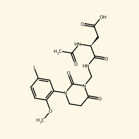 COc1ccc(I)cc1N1CCC(=O)N(CNC(=O)[C@H](CC(=O)O)NC(C)=O)C1=O